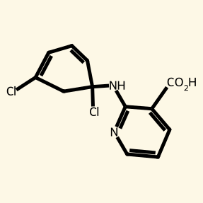 O=C(O)c1cccnc1NC1(Cl)C=CC=C(Cl)C1